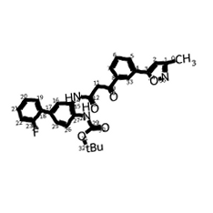 Cc1cc(-c2cccc(C(=O)CC(=O)Nc3cc(-c4ccccc4F)ccc3NC(=O)OC(C)(C)C)c2)on1